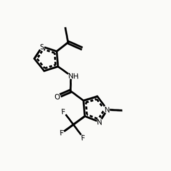 C=C(C)c1sccc1NC(=O)c1cn(C)nc1C(F)(F)F